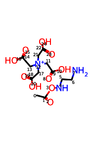 CC(=O)ONCCN.O=C(O)C[N+](CC(=O)O)(CC(=O)O)CC(=O)O